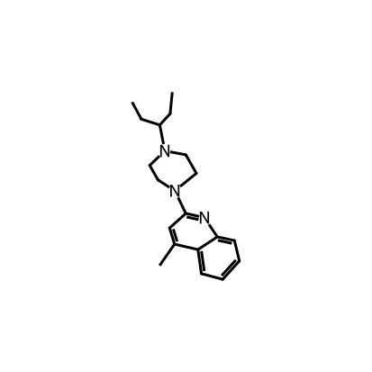 CCC(CC)N1CCN(c2cc(C)c3ccccc3n2)CC1